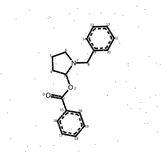 O=C(OC1CCCN1Cc1ccccc1)c1ccccc1